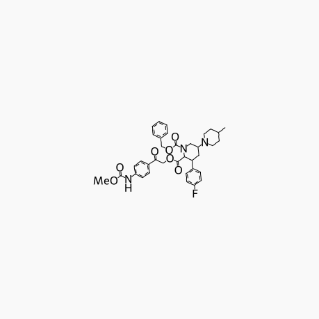 COC(=O)Nc1ccc(C(=O)COC(=O)C2C(c3ccc(F)cc3)CC(N3CCC(C)CC3)CN2C(=O)OCc2ccccc2)cc1